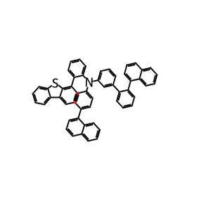 c1cc(-c2ccccc2-c2cccc3ccccc23)cc(N(c2ccc(-c3cccc4ccccc34)cc2)c2ccccc2-c2cccc3c2sc2ccccc23)c1